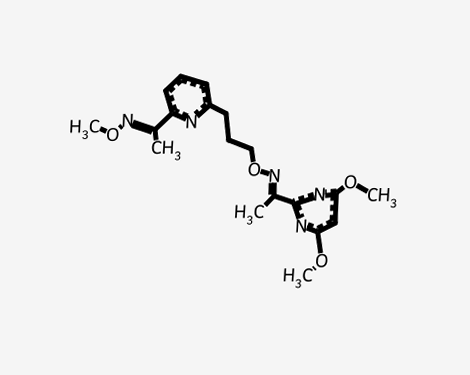 CO/N=C(\C)c1cccc(CCCO/N=C(\C)c2nc(OC)cc(OC)n2)n1